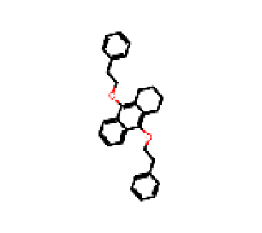 c1ccc(CCOc2c3c(c(OCCc4ccccc4)c4ccccc24)CCCC3)cc1